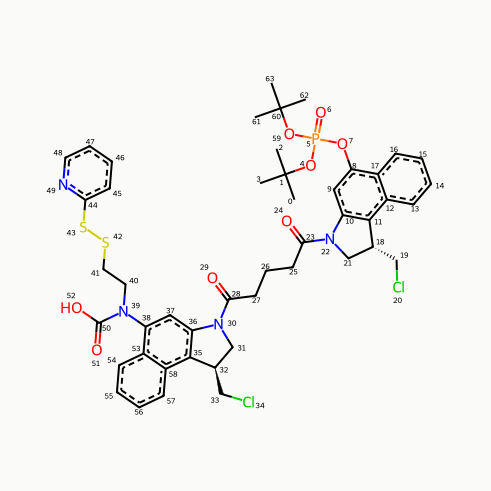 CC(C)(C)OP(=O)(Oc1cc2c(c3ccccc13)[C@H](CCl)CN2C(=O)CCCC(=O)N1C[C@@H](CCl)c2c1cc(N(CCSSc1ccccn1)C(=O)O)c1ccccc21)OC(C)(C)C